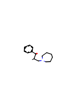 CCC(CN1CCCCCC1)C(=O)c1ccccc1.Cl